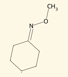 CON=C1CC[CH]CC1